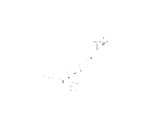 CCCCC(I)C(C)(C(=O)OC)C(C)(CC)C(CC(F)(F)C(F)(F)OC(F)(F)C(F)(F)S(=O)(=O)F)C(=O)OCC